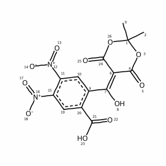 CC1(C)OC(=O)C(=C(O)c2cc([N+](=O)[O-])c([N+](=O)[O-])cc2C(=O)O)C(=O)O1